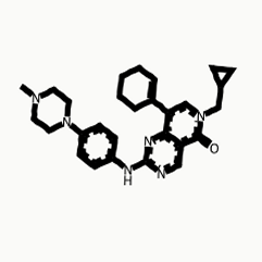 CN1CCN(c2ccc(Nc3ncc4c(=O)n(CC5CC5)cc(C5=CCCCC5)c4n3)cc2)CC1